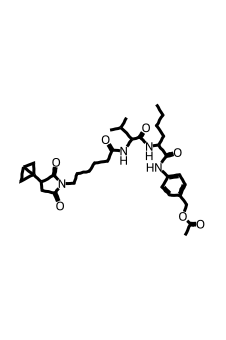 CCCCC(NC(=O)C(NC(=O)CCCCCN1C(=O)CC(C23CC2C3)C1=O)C(C)C)C(=O)Nc1ccc(COC(C)=O)cc1